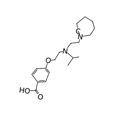 CC(C)N(CCOc1ccc(C(=O)O)cc1)CCN1CCCCCC1